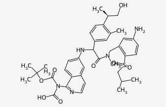 Cc1cc(C(Nc2ccc3c(N(C(=O)O)C(=O)OC(C)(C)C)nccc3c2)C(=O)N(C)Cc2cc(N)ccc2S(=O)(=O)CC(C)C)ccc1[C@@H](C)CO